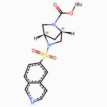 CC(C)(C)OC(=O)N1C[C@@H]2C[C@H]1CN2S(=O)(=O)c1ccc2cnccc2c1